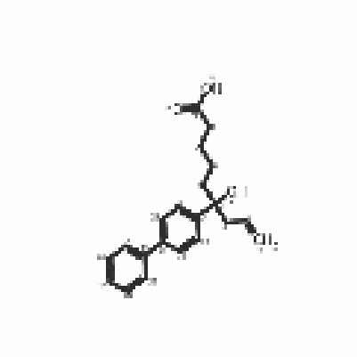 C=CCC(O)(CCCCC(=O)O)c1ccc(-c2ccccc2)cc1